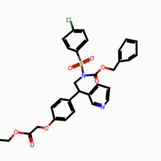 CCOC(=O)COc1ccc(C(CN(C(=O)OCc2ccccc2)S(=O)(=O)c2ccc(Cl)cc2)c2cccnc2)cc1